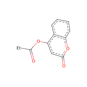 CCC(=O)Oc1cc(=O)oc2ccccc12